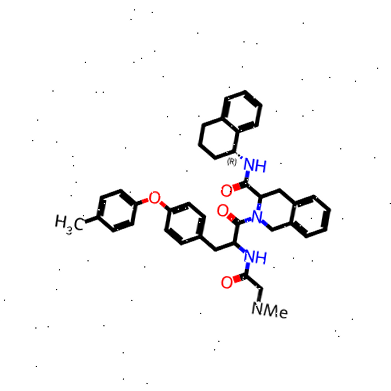 CNCC(=O)NC(Cc1ccc(Oc2ccc(C)cc2)cc1)C(=O)N1Cc2ccccc2CC1C(=O)N[C@@H]1CCCc2ccccc21